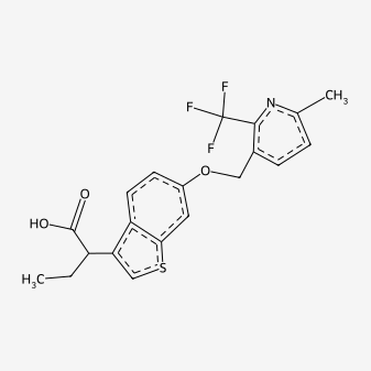 CCC(C(=O)O)c1csc2cc(OCc3ccc(C)nc3C(F)(F)F)ccc12